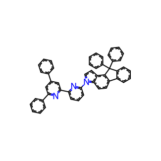 c1ccc(-c2cc(-c3ccccc3)nc(-c3cccc(-n4ccc5c6c(ccc54)-c4ccccc4C6(c4ccccc4)c4ccccc4)n3)c2)cc1